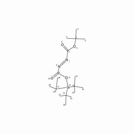 CC(C)(C)OC(=O)N=NC(=O)O[Si](C(C)(C)C)(C(C)(C)C)C(C)(C)C